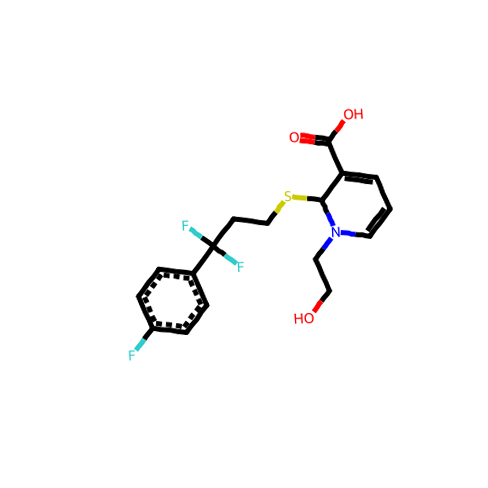 O=C(O)C1=CC=CN(CCO)C1SCCC(F)(F)c1ccc(F)cc1